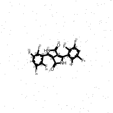 O=C1NC(c2c(F)c(F)cc(F)c2F)=C2C(=O)NC(c3c(F)c(F)cc(F)c3F)=C12